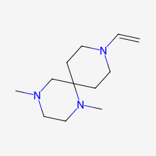 C=CN1CCC2(CC1)CN(C)CCN2C